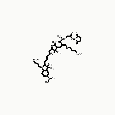 C=C1N=C(/C=C/C=C/C=C2/N(CCCS(=O)(=O)O)c3ccc(B(O)O)cc3C2(C)C)C(C)(C)/C1=C/C(=C\NCCCS(=O)(=O)O)C(=O)N(C)OCC(=O)ON1C(=O)CCC1=O